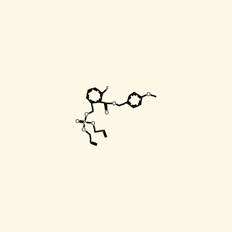 C=CCOP(=O)(OCC=C)OCc1cccc(F)c1C(=O)OCc1ccc(OC)cc1